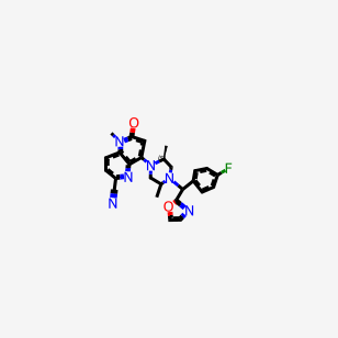 CC1CN(c2cc(=O)n(C)c3ccc(C#N)nc23)[C@@H](C)CN1C(c1ccc(F)cc1)c1ncco1